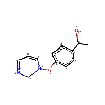 CC(O)c1ccc(ON2C=CC=NC2)cc1